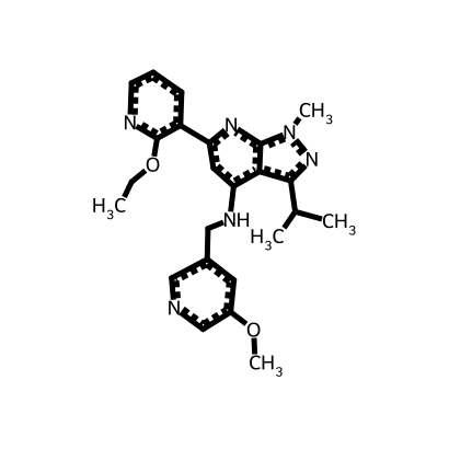 CCOc1ncccc1-c1cc(NCc2cncc(OC)c2)c2c(C(C)C)nn(C)c2n1